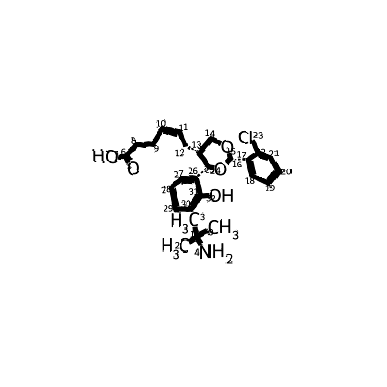 CC(C)(C)N.O=C(O)CC/C=C\C[C@@H]1CO[C@H](c2ccccc2Cl)O[C@@H]1c1ccccc1O